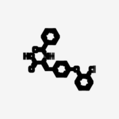 O=C(O)C(=Cc1ccc(Oc2ccccc2Cl)cc1)NC(=O)c1ccccc1